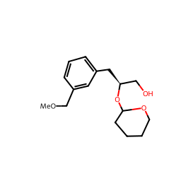 COCc1cccc(C[C@@H](CO)OC2CCCCO2)c1